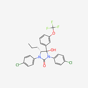 CCC[C@H]1N(c2ccc(Cl)cc2)C(=O)N(c2ccc(Cl)cc2)C1(O)c1cccc(OC(F)(F)F)c1